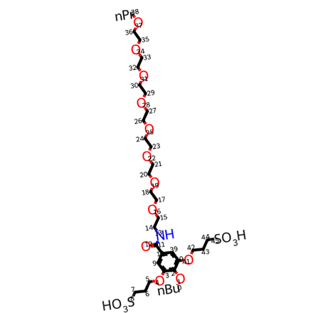 CCCCOc1c(OCCCS(=O)(=O)O)cc(C(=O)NCCOCCOCCOCCOCCOCCOCCOCCOCCC)cc1OCCCS(=O)(=O)O